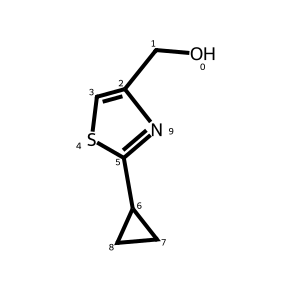 OCc1csc(C2CC2)n1